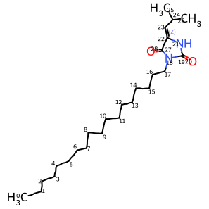 CCCCCCCCCCCCCCCCCCN1C(=O)N/C(=C\C(C)C)C1=O